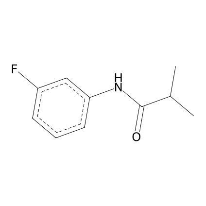 CC(C)C(=O)Nc1cccc(F)c1